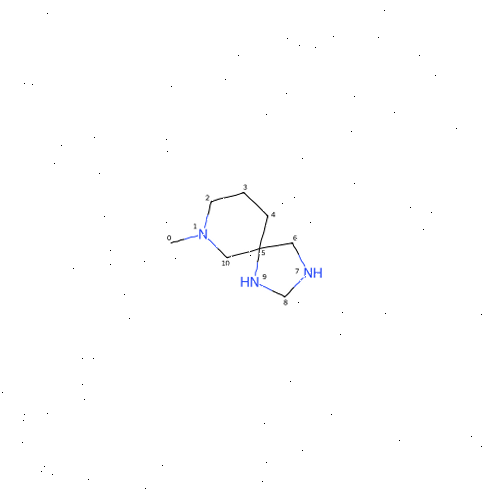 CN1CCCC2(CNCN2)C1